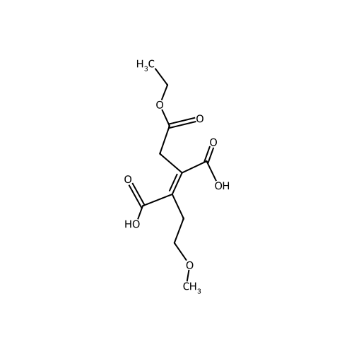 CCOC(=O)CC(C(=O)O)=C(CCOC)C(=O)O